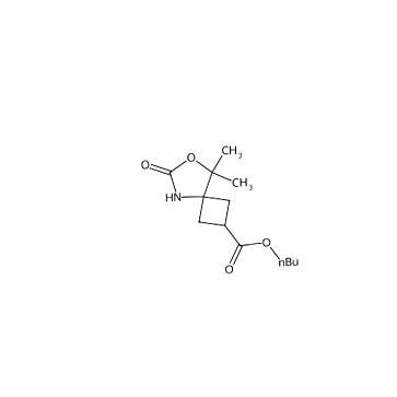 CCCCOC(=O)C1CC2(C1)NC(=O)OC2(C)C